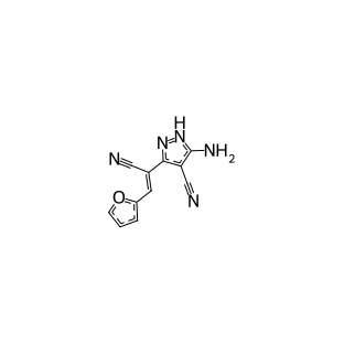 N#C/C(=C\c1ccco1)c1n[nH]c(N)c1C#N